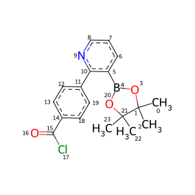 CC1(C)OB(c2cccnc2-c2ccc(C(=O)Cl)cc2)OC1(C)C